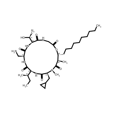 CCCCCCCCCC[C@H]1OC(=O)CNC(=O)[C@H]([C@H](C)O)NC(=O)[C@H](CN)NC(=O)[C@H]([C@H](C)CC)NC(=O)[C@H](CC2CC2)N(C)C(=O)[C@@H]1C